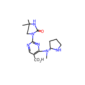 C[N+](=C1CCCN1)c1nc(N2CC(C)(C)NC2=O)ncc1C(=O)O